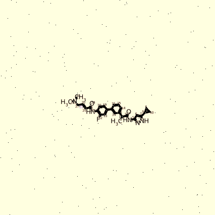 CC(C(=O)Nc1cc(C2CC2)[nH]n1)c1cccc(-c2ccc(NC(=O)/C=C/CN(C)C)c(F)c2)c1